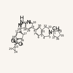 CC1(N2CCc3ccc(-c4cnc5[nH]nc(-c6ccc(S(=O)(=O)C7CC7)cc6)c5c4)cc3CC2)CCCC1